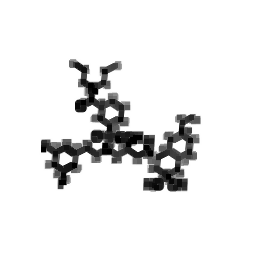 CCCN(CCC)C(=O)c1cccc(S(=O)(=O)N(CCc2cc(F)cc(F)c2)C[C@@H](O)CN[C@H]2CS(O)(O)Cc3ccc(CC)cc32)c1